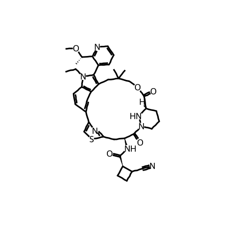 CCn1c(-c2cccnc2[C@H](C)OC)c2c3cc(ccc31)-c1csc(n1)C[C@H](NC(=O)[C@@H]1CCC1C#N)C(=O)N1CCC[C@H](N1)C(=O)OCC(C)(C)C2